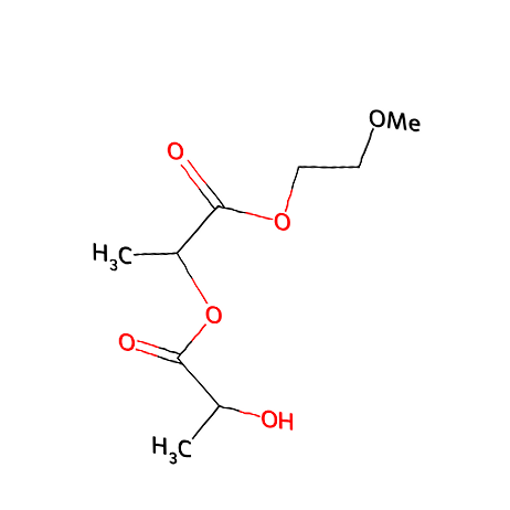 COCCOC(=O)C(C)OC(=O)C(C)O